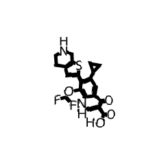 O=C(O)c1c[nH]c2c(OC(F)F)c(-c3cc4c(s3)CNCC4)c(C3CC3)cc2c1=O